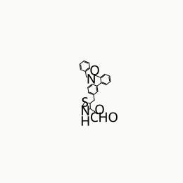 O=CC(=O)C1NCSC1Cc1ccc2c(c1)c1ccccc1c(=O)n2Cc1ccccc1